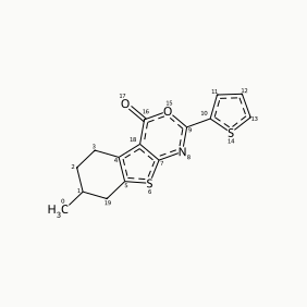 CC1CCc2c(sc3nc(-c4cccs4)oc(=O)c23)C1